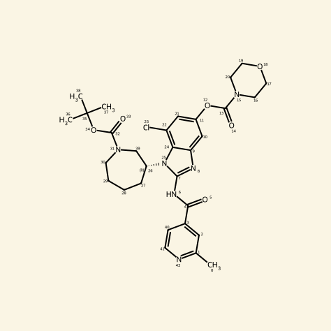 Cc1cc(C(=O)Nc2nc3cc(OC(=O)N4CCOCC4)cc(Cl)c3n2[C@@H]2CCCCN(C(=O)OC(C)(C)C)C2)ccn1